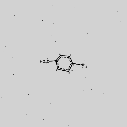 Nc1c[c]c(C(=O)O)cc1